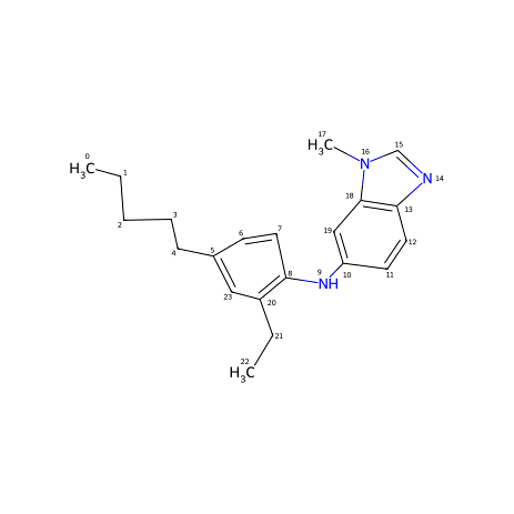 CCCCCc1ccc(Nc2ccc3ncn(C)c3c2)c(CC)c1